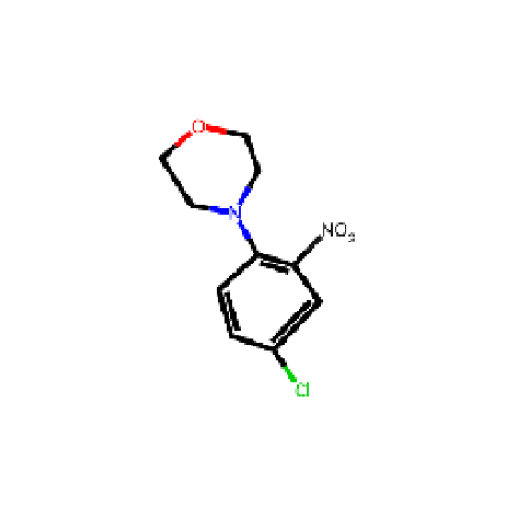 O=[N+]([O-])c1cc(Cl)ccc1N1CCOCC1